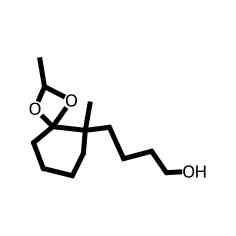 CC1OC2(CCCCC2(C)CCCCO)O1